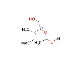 CCOC(C)O[C@@H](CO)[C@@H](C)CSC